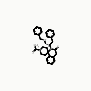 NC(=O)N1CCC2(CC1)c1ccccc1CC(=O)N2[C@H](CNCc1ccccc1)Cc1ccccc1